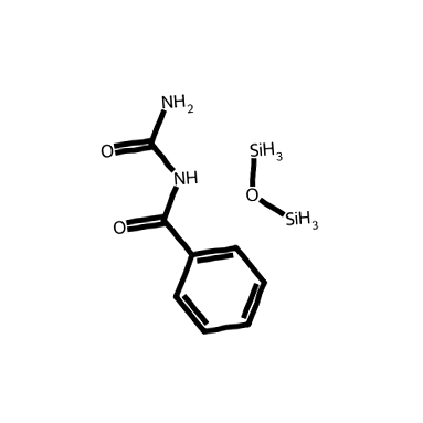 NC(=O)NC(=O)c1ccccc1.[SiH3]O[SiH3]